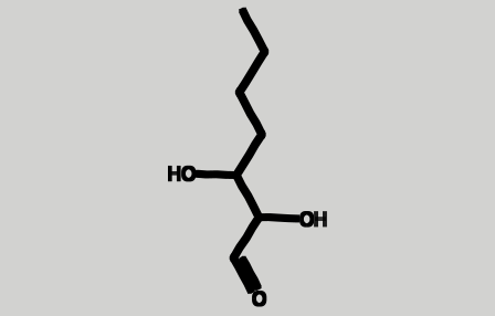 CCCCC(O)C(O)C=O